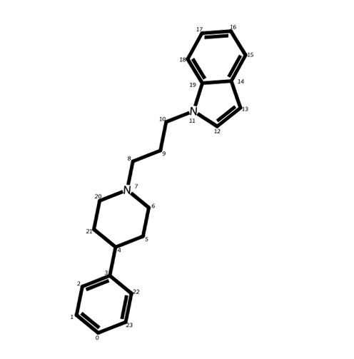 c1ccc(C2CCN(CCCn3ccc4ccccc43)CC2)cc1